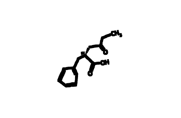 CCC(=O)C[C@@H](Cc1ccccc1)C(=O)O